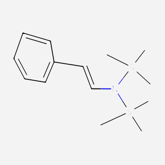 C[Si](C)(C)N(C=Cc1ccccc1)[Si](C)(C)C